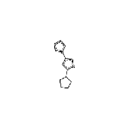 c1ccn(-c2cnn(C3CCCC3)c2)c1